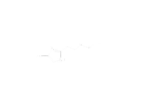 CCCCCCCCCCCc1nc(CC)c[nH]1